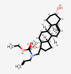 C=CCN(C[C@]1(O)CC[C@H]2[C@@H]3CC=C4C[C@@H](O)CC[C@]4(C)[C@H]3CC[C@@]21C)C(=O)OCC